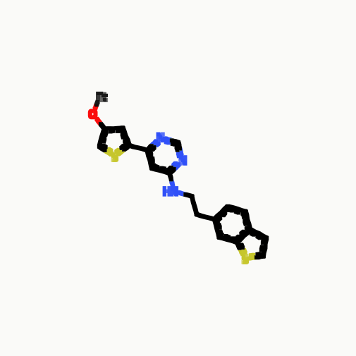 CCOc1csc(-c2cc(NCCc3ccc4ccsc4c3)ncn2)c1